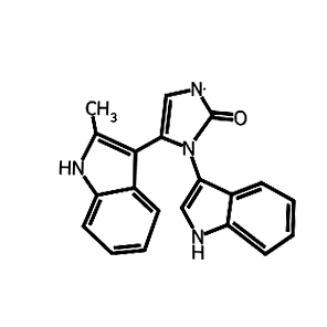 Cc1[nH]c2ccccc2c1C1=C[N]C(=O)N1c1c[nH]c2ccccc12